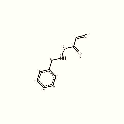 O=[C]C(=O)[N]NCc1ccccc1